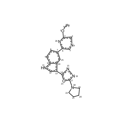 CC(C)Oc1cncc(-c2ccc3[nH]cc(-c4nnc(N5CCCC5)o4)c3c2)n1